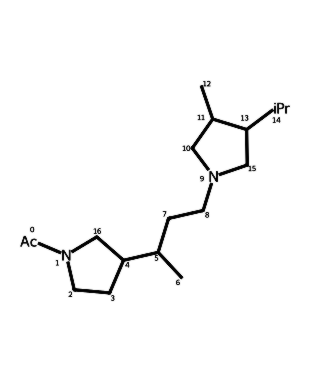 CC(=O)N1CCC(C(C)CCN2CC(C)C(C(C)C)C2)C1